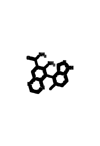 Cc1ccc2[nH]ncc2c1-c1c(N)c(C(N)=O)cc2nccnc12